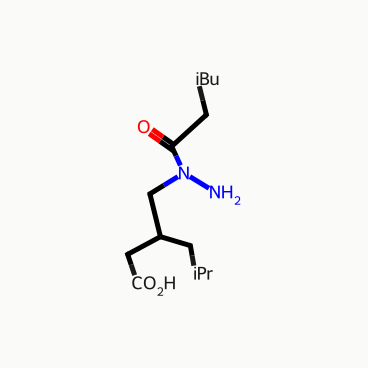 CCC(C)CC(=O)N(N)CC(CC(=O)O)CC(C)C